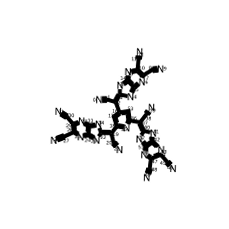 N#CC(=C1N=c2nc(C#N)c(C#N)nc2=N1)c1cc(C(C#N)=C2N=c3nc(C#N)c(C#N)nc3=N2)nc(C(C#N)=C2N=c3nc(C#N)c(C#N)nc3=N2)c1